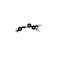 COc1ccc(-c2cccc(OC/C=C/c3ccc(C(F)(F)F)cc3)c2)cc1CC(=O)O